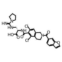 N=C(NC[C@H](NC(=O)c1c(Cl)cc2c(c1Cl)CCN(C(=O)c1ccc3ccoc3c1)C2)C(=O)O)N1CCCC1